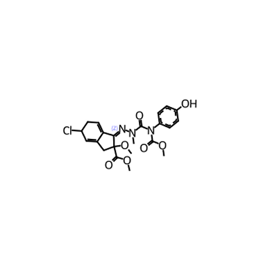 COC(=O)N(C(=O)N(C)/N=C1/C2=CCC(Cl)C=C2CC1(OC)C(=O)OC)c1ccc(O)cc1